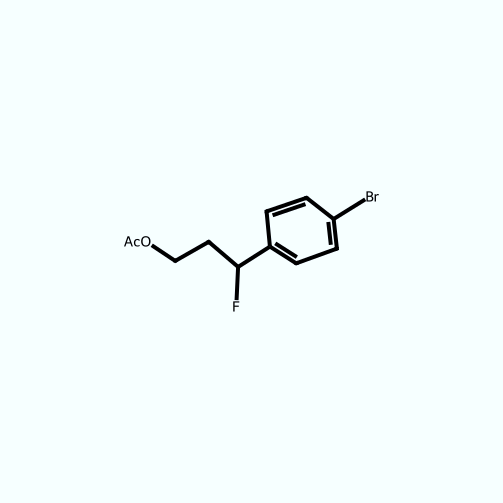 CC(=O)OCCC(F)c1ccc(Br)cc1